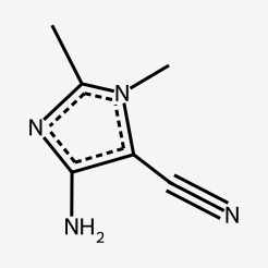 Cc1nc(N)c(C#N)n1C